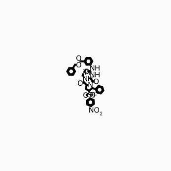 CC(C)CNC(=O)C1CC(S(=O)(=O)c2ccc([N+](=O)[O-])cc2)C(c2ccccc2F)N1C(=O)CNC(=O)Nc1cccc(C(=O)OCc2ccccc2)c1